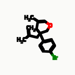 C=C(C)C[C@]1(c2ccc(Br)cc2)COC=C(C)C1